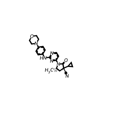 C[C@H]1C[C@@](C#N)(C2CC2)C(=O)N1c1ccnc(Nc2ccc(N3CCOCC3)cc2)n1